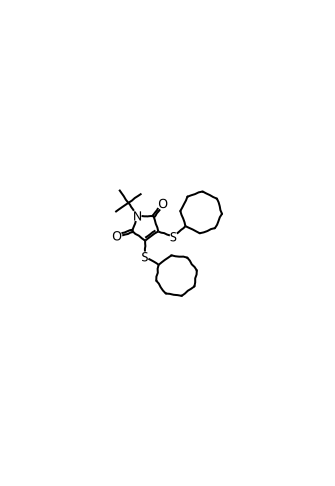 CC(C)(C)N1C(=O)C(SC2CCCCCCC2)=C(SC2CCCCCCC2)C1=O